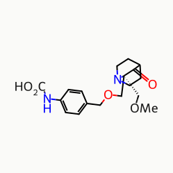 COC[C@@]1(COCc2ccc(NC(=O)O)cc2)C(=O)C2CCN1CC2